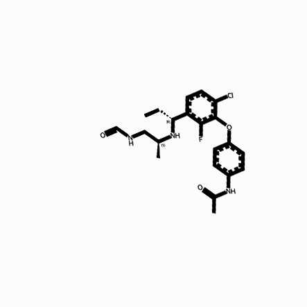 CC[C@@H](N[C@@H](C)CNC=O)c1ccc(Cl)c(Oc2ccc(NC(C)=O)cc2)c1F